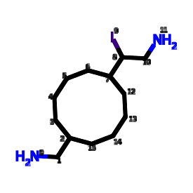 NCC1CCCCC(C(I)CN)CCCC1